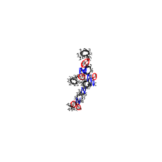 Cn1c(=O)n(-c2ccc(OCc3ccccc3)nc2OCc2ccccc2)c2ccc(N3CC4(CCN(C(=O)OC(C)(C)C)CC4)C3)cc21